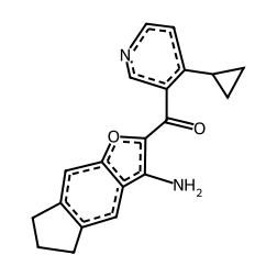 Nc1c(C(=O)c2cnccc2C2CC2)oc2cc3c(cc12)CCC3